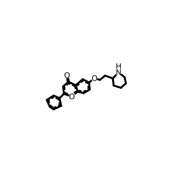 O=c1cc(-c2ccccc2)oc2ccc(OCCC3CCCCN3)cc12